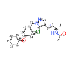 CC(=O)N[C@@H](C)/C=C/c1cnn(Cc2ccc(Oc3ccccc3)cc2Cl)c1